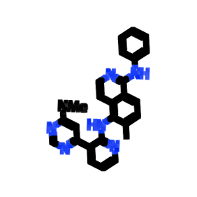 CNc1cc(-c2cccnc2Nc2c(C)ccc3c(Nc4ccccc4)nccc23)ncn1